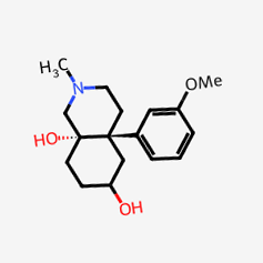 COc1cccc([C@]23CCN(C)C[C@]2(O)CCC(O)C3)c1